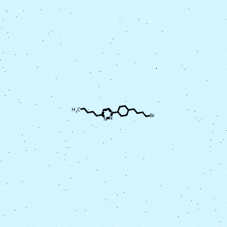 CCCCCc1ccc(C2CCC(CCCCBr)CC2)nn1